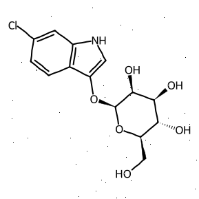 OC[C@H]1O[C@@H](Oc2c[nH]c3cc(Cl)ccc23)[C@@H](O)[C@@H](O)[C@@H]1O